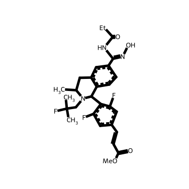 CCC(=O)N/C(=N\O)c1ccc2c(c1)CC(C)N(CC(C)(C)F)C2c1c(F)cc(/C=C/C(=O)OC)cc1F